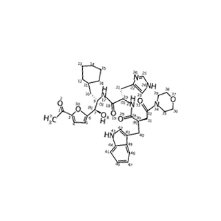 CC(=O)c1ccc([C@H](O)[C@H](CC2CCCCC2)NC(=O)[C@H](Cc2c[nH]cn2)NC(=O)[C@@H](CC(=O)N2CCOCC2)Cc2c[nH]c3ccccc23)o1